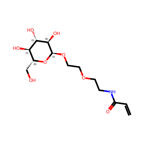 C=CC(=O)NCCOCCO[C@H]1O[C@H](CO)[C@@H](O)[C@H](O)[C@H]1O